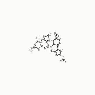 CCc1sc(CC(F)(F)F)nc1-c1ccc(C(F)(F)F)cc1CN(Cc1cc(C(F)(F)F)cc(C(F)(F)F)c1)c1nnn(C)n1